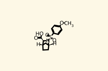 COc1ccc(S(=O)(=O)N2[C@@H]3CC[C@@H](C3)[C@H]2C(=O)O)cc1